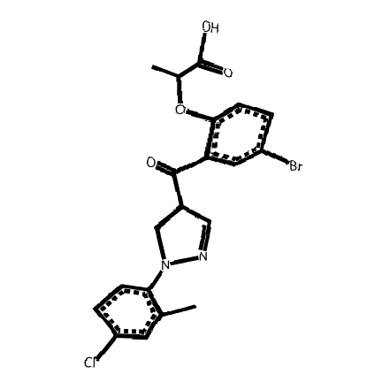 Cc1cc(Cl)ccc1N1CC(C(=O)c2cc(Br)ccc2OC(C)C(=O)O)C=N1